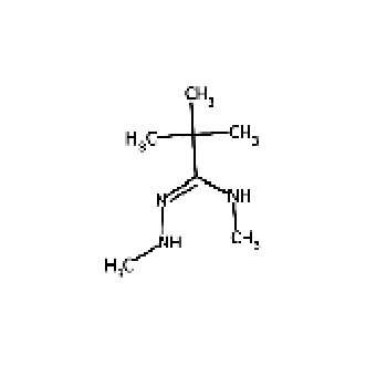 CN/N=C(\NC)C(C)(C)C